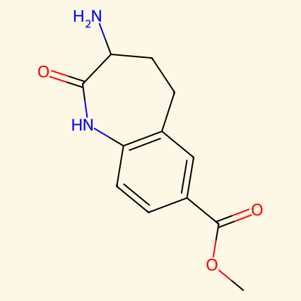 COC(=O)c1ccc2c(c1)CCC(N)C(=O)N2